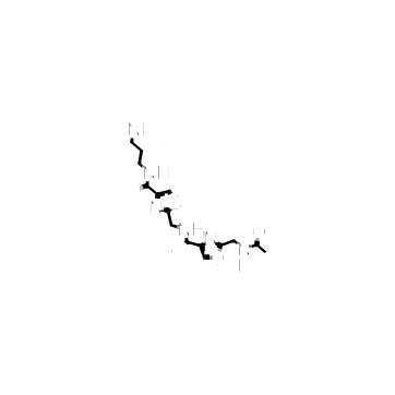 CC(=O)NCc1nc(C(=O)NCc2nc(C(=O)NCCCN)cs2)co1